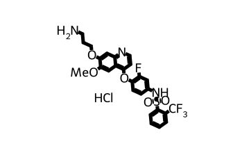 COc1cc2c(Oc3ccc(NS(=O)(=O)c4ccccc4C(F)(F)F)cc3F)ccnc2cc1OCCCN.Cl